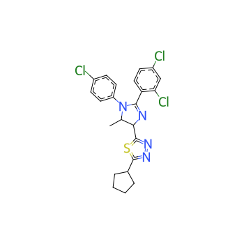 CC1C(c2nnc(C3CCCC3)s2)N=C(c2ccc(Cl)cc2Cl)N1c1ccc(Cl)cc1